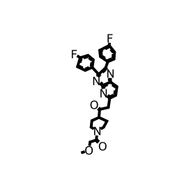 COCC(=O)N1CCC(C(=O)Cc2ccc3nc(-c4ccc(F)cc4)c(-c4ccc(F)cc4)nc3n2)CC1